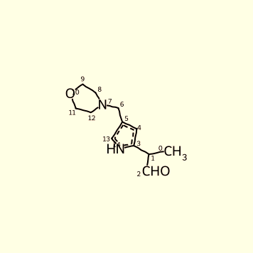 CC(C=O)c1cc(CN2CCOCC2)c[nH]1